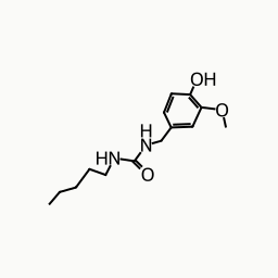 CCCCCNC(=O)NCc1ccc(O)c(OC)c1